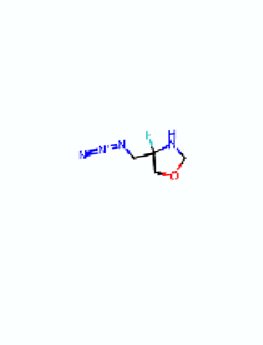 [N-]=[N+]=NCC1(F)COCN1